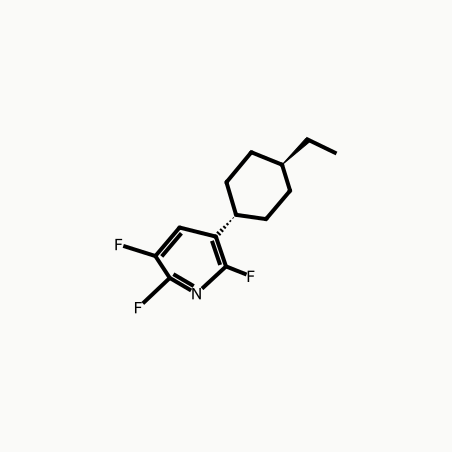 CC[C@H]1CC[C@H](c2cc(F)c(F)nc2F)CC1